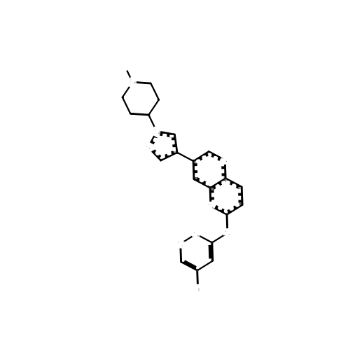 CC(C)C1=CNNC(Nc2ccc3ncc(-c4cnn(C5CCN(C)CC5)c4)cc3n2)=C1